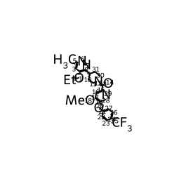 CCOc1cc(C)nnc1C1CCN(C(=O)c2cc(OC)c(Oc3ccc(C(F)(F)F)cc3)cn2)CC1